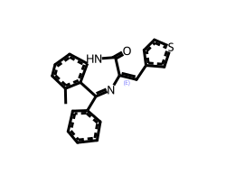 Cc1cccc2c1C(c1ccccc1)=N/C(=C/c1ccsc1)C(=O)N2